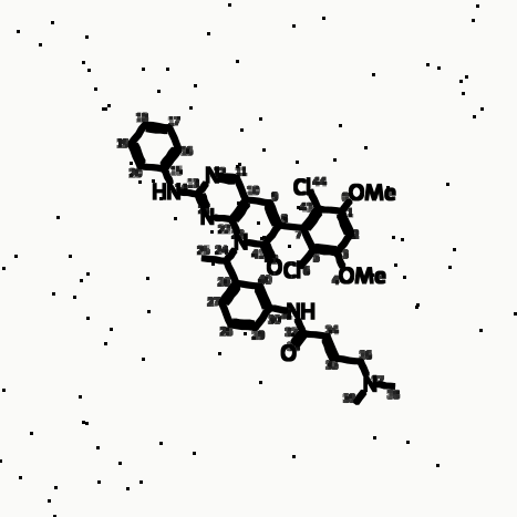 COc1cc(OC)c(Cl)c(-c2cc3cnc(Nc4ccccc4)nc3n(C(C)c3cccc(NC(=O)/C=C/CN(C)C)c3)c2=O)c1Cl